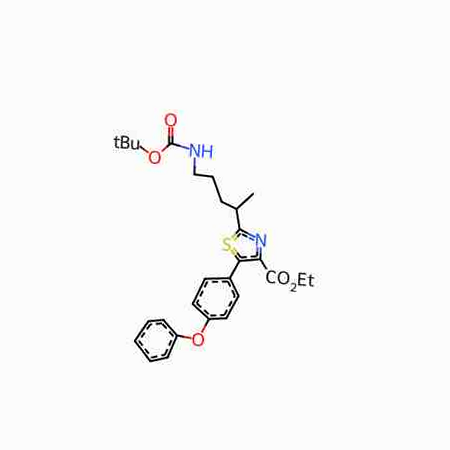 CCOC(=O)c1nc(C(C)CCCNC(=O)OC(C)(C)C)sc1-c1ccc(Oc2ccccc2)cc1